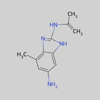 C=C(C)Nc1nc2c(C)cc(N)cc2[nH]1